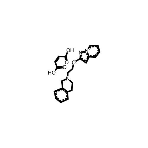 O=C(O)/C=C\C(=O)O.c1ccc2c(c1)CCN(CCOc1cc3ccccn3n1)C2